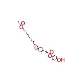 C=CC(=O)OCCCCCCCCCCCOc1ccc(C#CC(=O)Oc2ccc(O)cc2)cc1